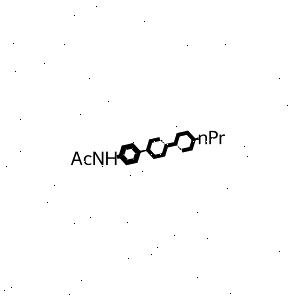 CCC[C@H]1CC[C@H]([C@H]2CC[C@H](c3ccc(NC(C)=O)cc3)CC2)CC1